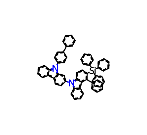 c1ccc(-c2ccc(-n3c4ccccc4c4ccc(-n5c6ccccc6c6c(-c7ccccc7)c([Si](c7ccccc7)(c7ccccc7)c7ccccc7)ccc65)cc43)cc2)cc1